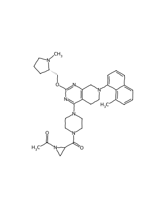 CC(=O)N1CC1C(=O)N1CCN(c2nc(OC[C@@H]3CCCN3C)nc3c2CCN(c2cccc4cccc(C)c24)C3)CC1